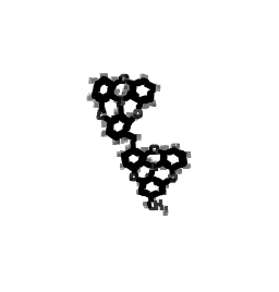 Cc1cc2c3c(c1)Oc1ccc(Cc4ccc5c6c4Oc4cccc7c4B6c4c(cccc4O5)O7)c4c1B3c1c(cccc1O4)O2